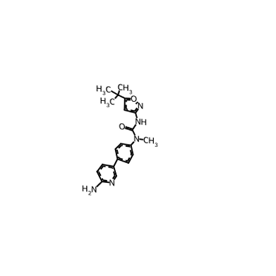 CN(C(=O)Nc1cc(C(C)(C)C)on1)c1ccc(-c2ccc(N)nc2)cc1